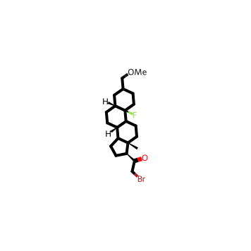 COCC1CC[C@]2(F)C3CC[C@@]4(C)C(CC[C@@H]4C(=O)CBr)[C@@H]3CC[C@@H]2C1